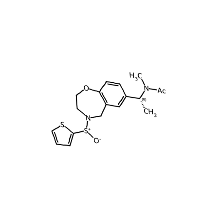 CC(=O)N(C)[C@H](C)c1ccc2c(c1)CN([S+]([O-])c1cccs1)CCO2